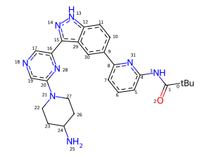 CC(C)(C)C(=O)Nc1cccc(-c2ccc3[nH]nc(-c4cncc(N5CCC(N)CC5)n4)c3c2)n1